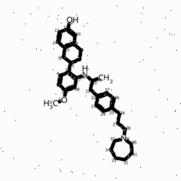 COc1ccc(C2CCc3cc(O)ccc3C2)c(NC(C)Cc2ccc(CCCN3CCCCCC3)cc2)c1